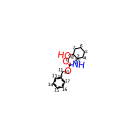 O=C(N[C@@H]1CCCCC1O)OCc1ccccc1